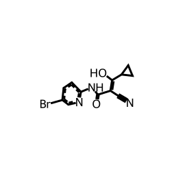 N#CC(C(=O)Nc1ccc(Br)cn1)=C(O)C1CC1